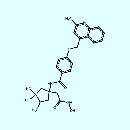 Cc1cc(COc2ccc(C(=O)NC3(CC(=O)NO)CC(C)S(O)(O)C3)cc2)c2ccccc2n1